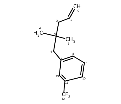 [CH]=CCC(C)(C)Cc1cccc(C(F)(F)F)c1